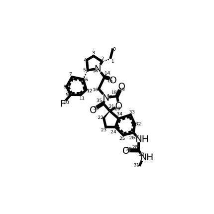 CC[C@H]1CC[C@@H](c2ccc(F)cc2)N1C(=O)CN1C(=O)O[C@@]2(CCc3cc(NC(=O)NC)ccc32)C1=O